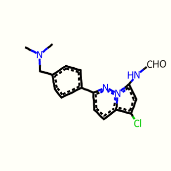 CN(C)Cc1ccc(-c2ccc3c(Cl)cc(NC=O)n3n2)cc1